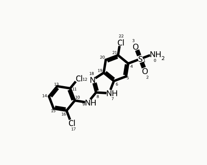 NS(=O)(=O)c1cc2[nH]c(Nc3c(Cl)cccc3Cl)nc2cc1Cl